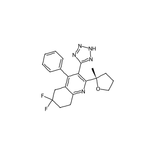 C[C@@]1(c2nc3c(c(-c4ccccc4)c2-c2nn[nH]n2)CC(F)(F)CC3)CCCO1